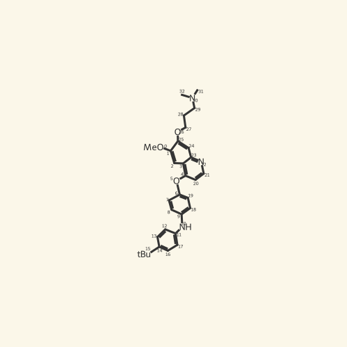 COc1cc2c(Oc3ccc(Nc4ccc(C(C)(C)C)cc4)cc3)ccnc2cc1OCCCN(C)C